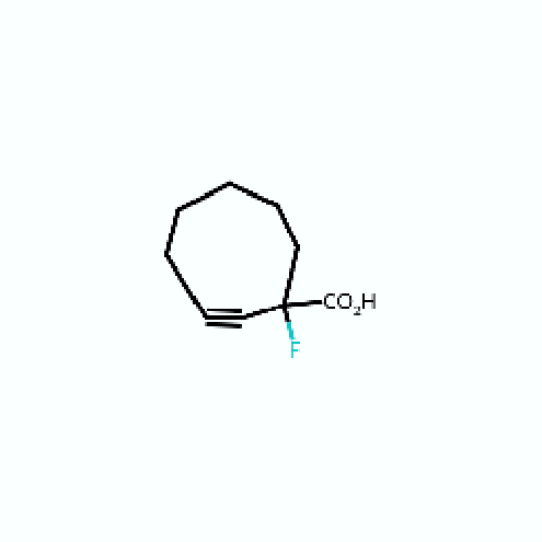 O=C(O)C1(F)C#CCCCCC1